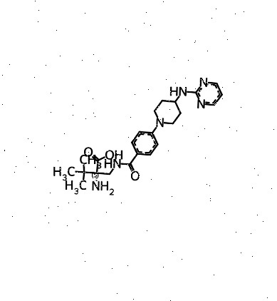 CC(C)(C)[C@](N)(CNC(=O)c1ccc(N2CCC(Nc3ncccn3)CC2)cc1)C(=O)O